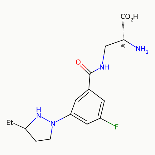 CCC1CCN(c2cc(F)cc(C(=O)NC[C@@H](N)C(=O)O)c2)N1